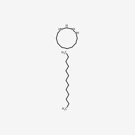 C1CCCCNNNNCCC1.CCCCCCCCCCCCC